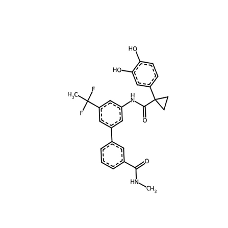 CNC(=O)c1cccc(-c2cc(NC(=O)C3(c4ccc(O)c(O)c4)CC3)cc(C(C)(F)F)c2)c1